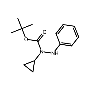 CC(C)(C)OC(=O)N(Nc1ccccc1)C1CC1